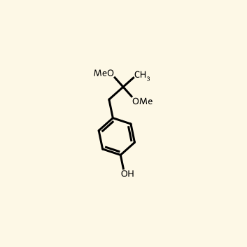 COC(C)(Cc1ccc(O)cc1)OC